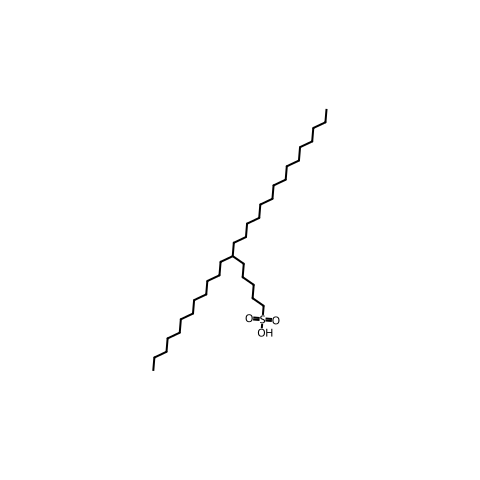 CCCCCCCCCCCCCCCC(CCCCCCCCCCCC)CCCCCS(=O)(=O)O